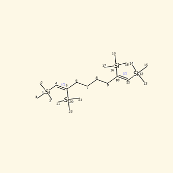 C[Si](C)(C)/C=C(/CCCC/C(=C/[Si](C)(C)C)[Si](C)(C)C)[Si](C)(C)C